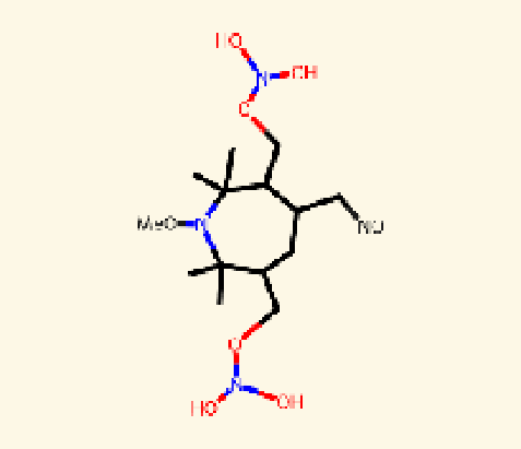 CON1C(C)(C)C(CON(O)O)CC(CN=O)C(CON(O)O)C1(C)C